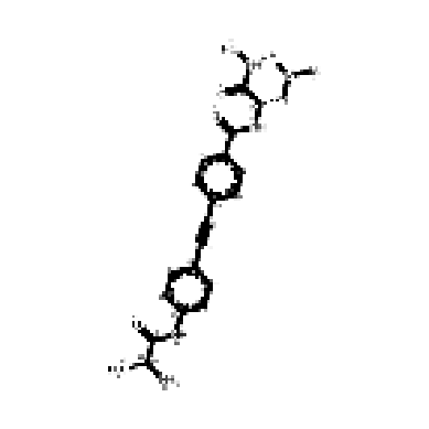 CCN(O)C[C@H](NC(=O)c1ccc(C#Cc2ccc(NC(=O)[C@H](C)N)cc2)cc1)C(=O)NO